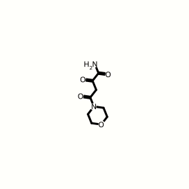 NC(=O)C(=O)CC(=O)N1CCOCC1